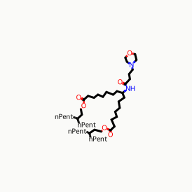 CCCCCC(CCCCC)CCOC(=O)CCCCCCCC(CCCCCCCC(=O)OCCC(CCCCC)CCCCC)NC(=O)CCCN1CCOCC1